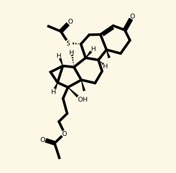 CC(=O)OCCC[C@]1(O)[C@@H]2C[C@@H]2[C@H]2[C@@H]3[C@H](SC(C)=O)CC4=CC(=O)CC[C@]4(C)[C@H]3CC[C@@]21C